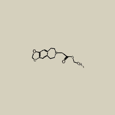 CCOC(=O)CN1CCc2cc3c(cc2CC1)OCO3